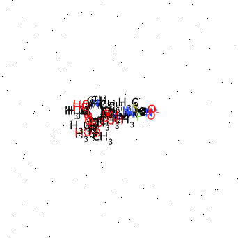 CCS[C@H](c1ccc([N+](=O)[O-])cc1)[C@@H](CF)n1cc(CCN(C)[C@H]2C[C@@H](C)O[C@@H](O[C@@H]3[C@@H](C)[C@H](O[C@H]4C[C@@](C)(OC)[C@@H](O)[C@H](C)O4)[C@@H](C)C(=O)O[C@H](CC)[C@@](C)(O)[C@H](O)[C@@H](C)N(C)C[C@H](C)C[C@@]3(C)O)[C@@H]2O)nn1